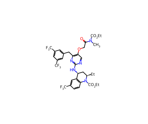 CCOC(=O)N(C)C(=O)COc1cnc(N[C@H]2C[C@@H](CC)N(C(=O)OCC)c3ccc(C(F)(F)F)cc32)nc1Cc1cc(C(F)(F)F)cc(C(F)(F)F)c1